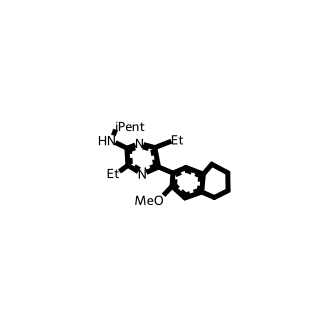 CCCC(C)Nc1nc(CC)c(-c2cc3c(cc2OC)CCCC3)nc1CC